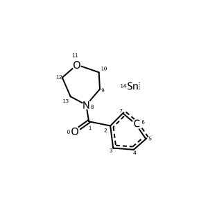 O=C(c1ccccc1)N1CCOCC1.[Sn]